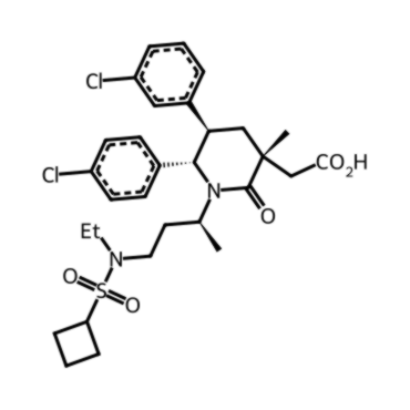 CCN(CC[C@H](C)N1C(=O)[C@@](C)(CC(=O)O)C[C@H](c2cccc(Cl)c2)[C@H]1c1ccc(Cl)cc1)S(=O)(=O)C1CCC1